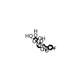 O=c1ccn([C@@H]2O[C@H](CO)[C@H](O)C2O)c(=O)n1Cc1noc2cc(F)ccc12